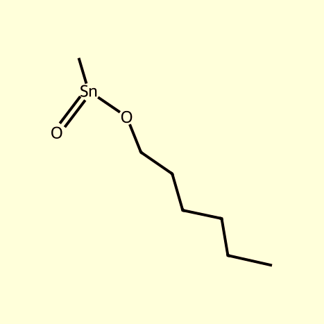 CCCCCC[O][Sn]([CH3])=[O]